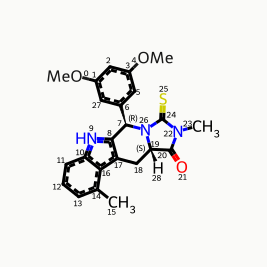 COc1cc(OC)cc([C@@H]2c3[nH]c4cccc(C)c4c3C[C@H]3C(=O)N(C)C(=S)N23)c1